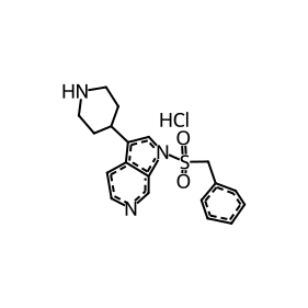 Cl.O=S(=O)(Cc1ccccc1)n1cc(C2CCNCC2)c2ccncc21